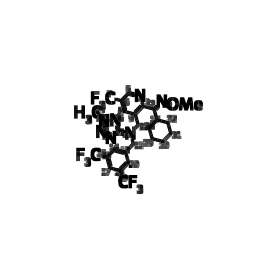 CO/N=C(/c1ncc(C(F)(F)F)cc1CN(Cc1cc(C(F)(F)F)cc(C(F)(F)F)c1)c1nnn(C)n1)C1CCCCC1